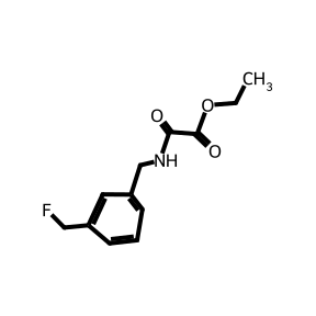 CCOC(=O)C(=O)NCc1cccc(CF)c1